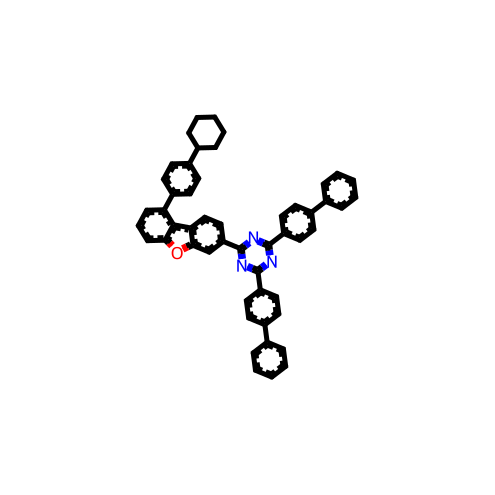 c1ccc(-c2ccc(-c3nc(-c4ccc(-c5ccccc5)cc4)nc(-c4ccc5c(c4)oc4cccc(-c6ccc(C7CCCCC7)cc6)c45)n3)cc2)cc1